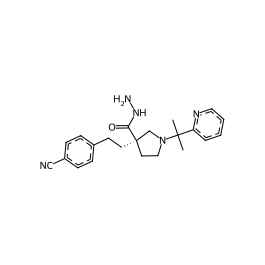 CC(C)(c1ccccn1)N1CC[C@@](CCc2ccc(C#N)cc2)(C(=O)NN)C1